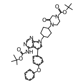 CC(C)(C)OC(=O)Nc1ncnc2c1c(-c1ccc(Oc3ccccc3)cc1)cn2C1CCC(N2CCN(C(=O)OC(C)(C)C)CC2=O)CC1